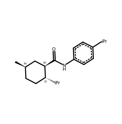 CC(C)c1ccc(NC(=O)[C@@H]2C[C@H](C)CC[C@H]2C(C)C)cc1